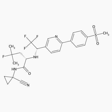 CC(C)(F)C[C@H](N[C@@H](c1ccc(-c2ccc(S(C)(=O)=O)cc2)nc1)C(F)(F)F)C(=O)NC1(C#N)CC1